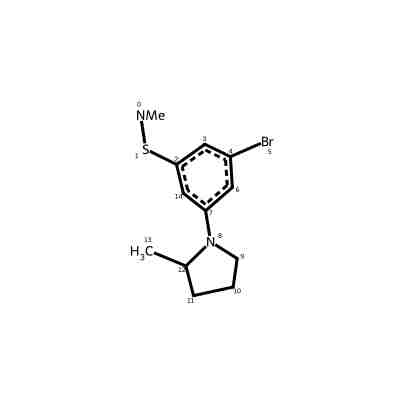 CNSc1cc(Br)cc(N2CCCC2C)c1